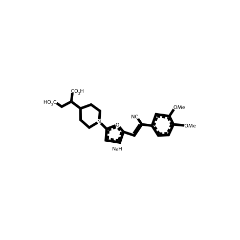 COc1ccc(C(C#N)=Cc2ccc(N3CCC(C(CC(=O)O)C(=O)O)CC3)o2)cc1OC.[NaH]